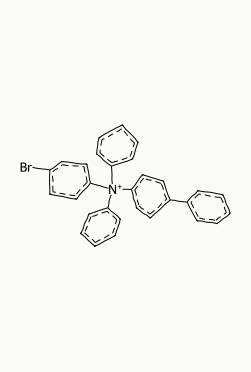 Brc1ccc([N+](c2ccccc2)(c2ccccc2)c2ccc(-c3ccccc3)cc2)cc1